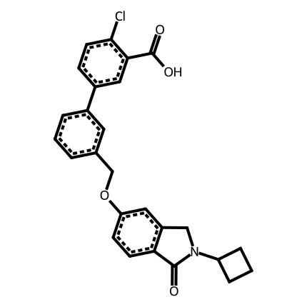 O=C(O)c1cc(-c2cccc(COc3ccc4c(c3)CN(C3CCC3)C4=O)c2)ccc1Cl